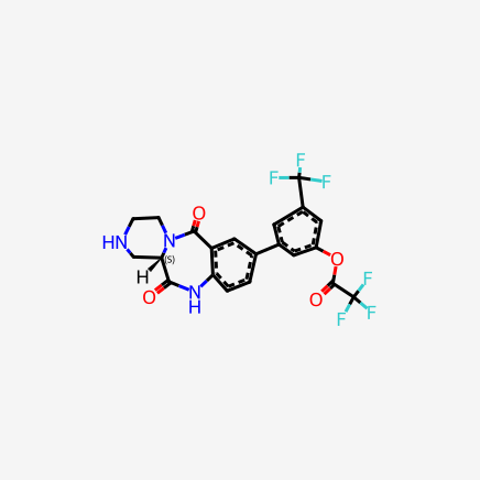 O=C1Nc2ccc(-c3cc(OC(=O)C(F)(F)F)cc(C(F)(F)F)c3)cc2C(=O)N2CCNC[C@@H]12